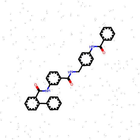 O=C(NCc1ccc(NC(=O)c2ccccc2)cc1)c1cccc(NC(=O)c2ccccc2-c2ccccc2)c1